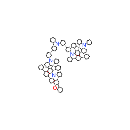 c1ccc(-c2ccc(-c3ccccc3N(c3ccc(-c4cccc(-n5c6ccccc6c6cc(-c7cccc(N8c9ccccc9C9(c%10ccccc%10-c%10c(N(c%11ccccc%11-c%11ccc(-c%12ccccc%12)cc%11)c%11ccccc%11-c%11ccc%12oc%13ccccc%13c%12c%11)cccc%109)c9ccccc98)c7)ccc65)c4)cc3)c3cccc4c3-c3ccccc3C43c4ccccc4N(c4ccccc4)c4ccccc43)cc2)cc1